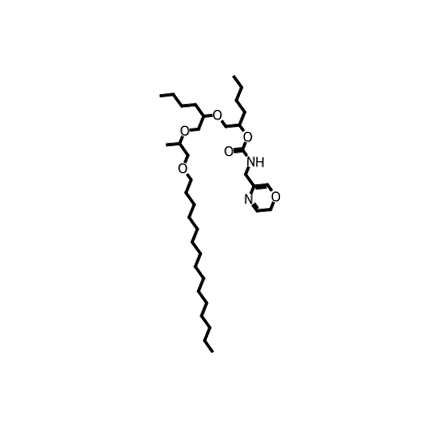 CCCCCCCCCCCCCCCOCC(C)OCC(CCCC)OCC(CCCC)OC(=O)NCC1=COCC=N1